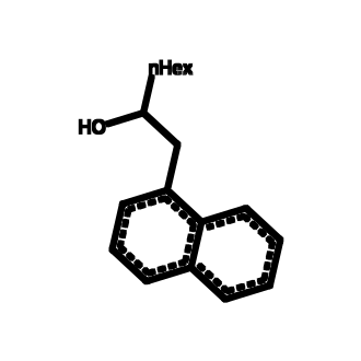 CCCCCCC(O)Cc1cccc2ccccc12